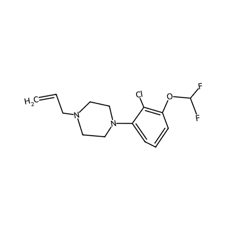 C=CCN1CCN(c2cccc(OC(F)F)c2Cl)CC1